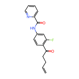 C=CCCC(=O)c1ccc(NC(=O)c2ccccn2)cc1F